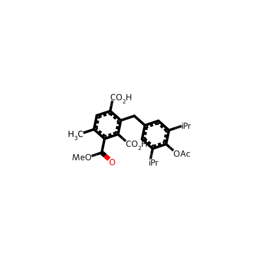 COC(=O)c1c(C)cc(C(=O)O)c(Cc2cc(C(C)C)c(OC(C)=O)c(C(C)C)c2)c1C(=O)O